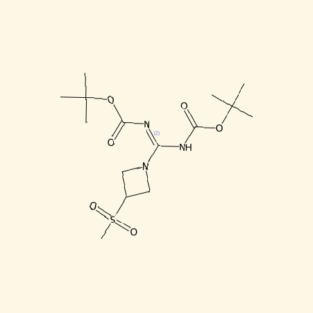 CC(C)(C)OC(=O)/N=C(/NC(=O)OC(C)(C)C)N1CC(S(C)(=O)=O)C1